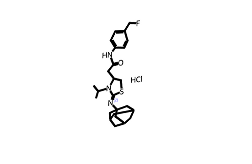 CC(C)N1/C(=N/C23CC4CC(CC(C4)C2)C3)SCC1CC(=O)Nc1ccc(CF)cc1.Cl